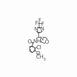 COc1cccc(C(=O)NCC(c2cnc(C(F)(F)F)nc2)N2CCOCC2)c1Cl